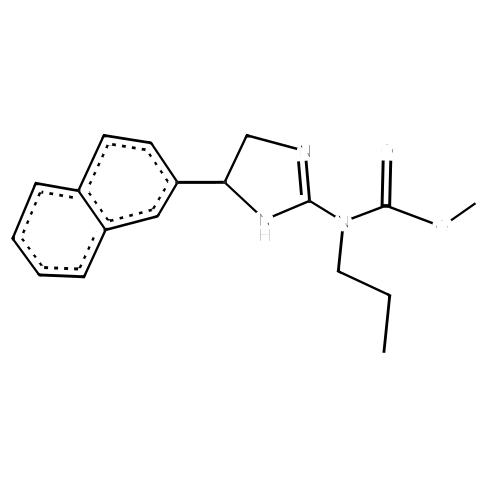 CCCN(C(=O)OC)C1=NCC(c2ccc3ccccc3c2)N1